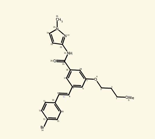 COCCCOc1cc(/C=C/c2ccc(Br)cc2)cc(C(=O)Nc2ccn(C)n2)c1